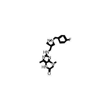 Cc1nc(NCc2cnn(Cc3ccc(F)cc3)c2)nc2c1NC(=O)CN2C